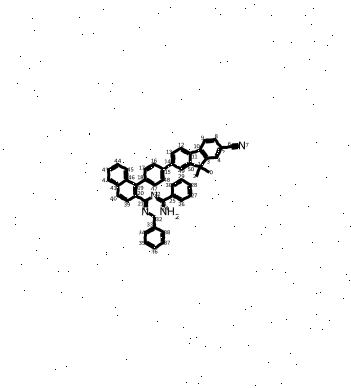 CC1(C)c2cc(C#N)ccc2-c2ccc(-c3ccc(-c4c(C(/N=C(\N)c5ccccc5)=N/Cc5ccccc5)ccc5ccccc45)cc3)cc21